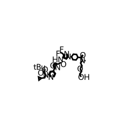 CN(CCOCCO)C(=O)C1CCC(n2cc(NC(=O)c3coc(-c4ccnc(N(CC5CC5)C(=O)OC(C)(C)C)c4)n3)c(C(F)F)n2)CC1